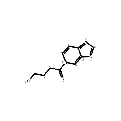 [O]CCCC(=O)n1ccc2ncnc-2c1